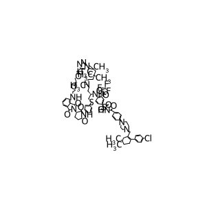 CN(CC[C@H](CSc1ccccc1)Nc1ccc(S(=O)(=O)NC(=O)c2ccc(N3CCN(CC4=C(c5ccc(Cl)cc5)CCC(C)(C)C4)CC3)cc2)cc1S(=O)(=O)C(F)(F)F)CCC(C)(C)CC(C)(C)Cn1cc(COCCOCCNc2cccc3c2C(=O)N(C2CCC(=O)NC2=O)C3=O)nn1